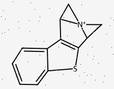 c1ccc2c3c(sc2c1)C1C[N+]12CC32